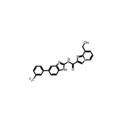 O=C(Nc1nc2cc(-c3cccc(C(F)(F)F)c3)ccc2[nH]1)c1cn2cccc(CO)c2n1